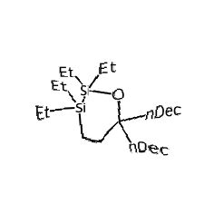 CCCCCCCCCCC1(CCCCCCCCCC)CC[Si](CC)(CC)[Si](CC)(CC)O1